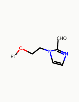 CCOCCn1ccnc1C=O